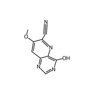 COc1cc2ncnc(O)c2nc1C#N